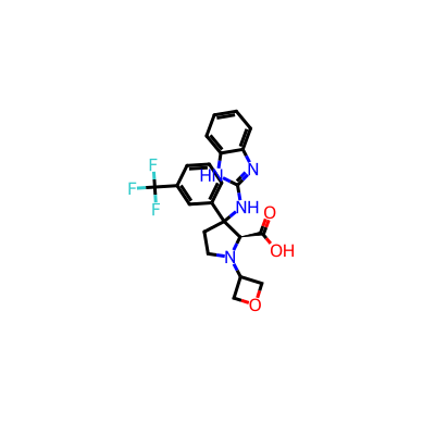 O=C(O)[C@H]1N(C2COC2)CCC1(Nc1nc2ccccc2[nH]1)c1cccc(C(F)(F)F)c1